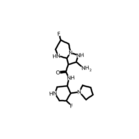 NC1NN2CC(F)CNC2C1C(=O)NC1CNCC(F)C1N1CCCC1